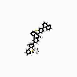 [2H]c1c2c3c(cccc3c3cc(-c4ccc5c(c4)S(C)(C)c4ccccc4-5)ccc13)Sc1cc(-c3cccc4ccccc34)ccc1-2